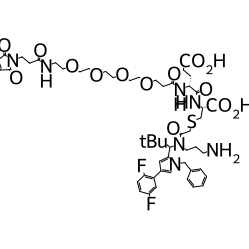 CC(C)(C)[C@H](c1cc(-c2cc(F)ccc2F)cn1Cc1ccccc1)N(CCCN)C(=O)CSC[C@H](NC(=O)[C@@H](CCC(=O)O)NC(=O)CCOCCOCCOCCOCCNC(=O)CCN1C(=O)C=CC1=O)C(=O)O